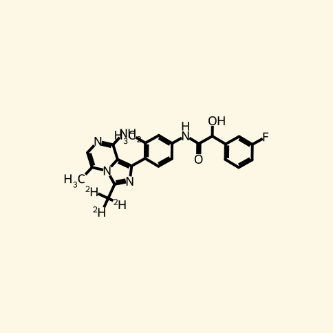 [2H]C([2H])([2H])c1nc(-c2ccc(NC(=O)C(O)c3cccc(F)c3)cc2C)c2c(N)ncc(C)n12